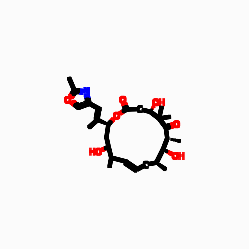 C/C(=C\c1coc(C)n1)[C@@H]1CC(O)C(C)/C=C/C[C@H](C)[C@H](O)[C@@H](C)C(=O)C(C)(C)[C@@H](O)CC(=O)O1